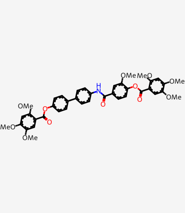 COc1cc(OC)c(C(=O)Oc2ccc(-c3ccc(NC(=O)c4ccc(OC(=O)c5cc(OC)c(OC)cc5OC)c(OC)c4)cc3)cc2)cc1OC